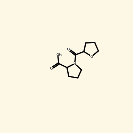 O=C(O)C1CCCN1C(=O)C1CCCO1